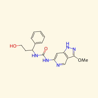 COc1n[nH]c2cc(NC(=O)NC(CCO)c3ccccc3)ncc12